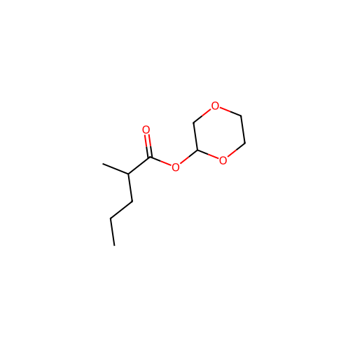 CCCC(C)C(=O)OC1COCCO1